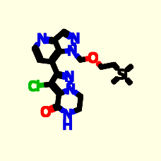 C[Si](C)(C)CCOCn1ncc2nccc(-c3nn4c(c3Cl)C(=O)NCC4)c21